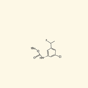 CC(F)c1cc(Cl)cc(NC(=O)OC(C)(C)C)c1